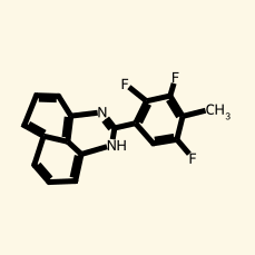 Cc1c(F)cc(C2=Nc3cccc4cccc(c34)N2)c(F)c1F